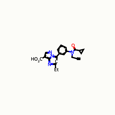 C#CCN(C(=O)C1CC1)c1cccc(-c2cc(CC)nc3c(C(=O)O)cnn23)c1